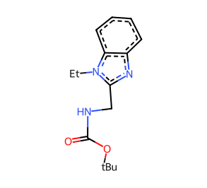 CCn1c(CNC(=O)OC(C)(C)C)nc2ccccc21